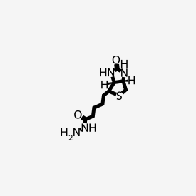 NNC(=O)CCCCC1SC[C@H]2NC(=O)N[C@@H]12